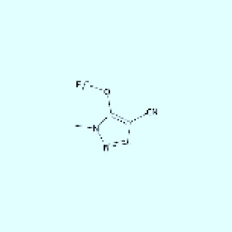 Cn1n[c]c(C#N)c1OC(F)(F)F